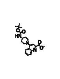 COC(=O)c1cc(N2CCC(NC(=O)OC(C)(C)C)CC2)c2ccccc2n1